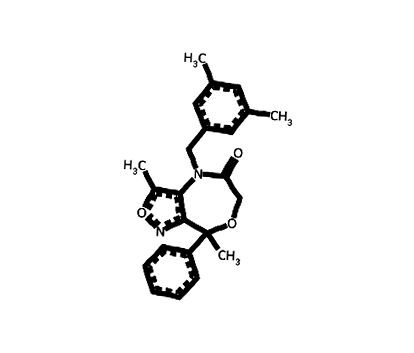 Cc1cc(C)cc(CN2C(=O)COC(C)(c3ccccc3)c3noc(C)c32)c1